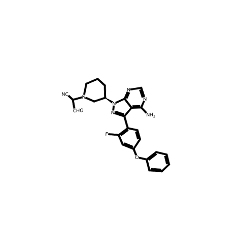 N#CC(C=O)N1CCC[C@@H](n2nc(-c3ccc(Oc4ccccc4)cc3F)c3c(N)ncnc32)C1